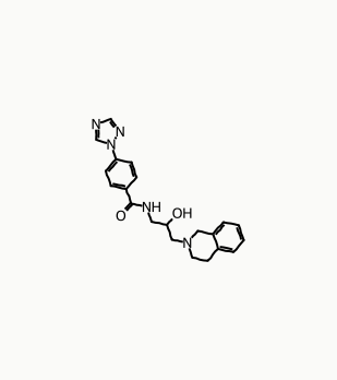 O=C(NCC(O)CN1CCc2ccccc2C1)c1ccc(-n2cncn2)cc1